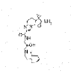 NC(=O)C1(C2CCc3nc(C(=O)NC[C@H](O)CN4CCc5ccccc5C4)cn3C2)CC1